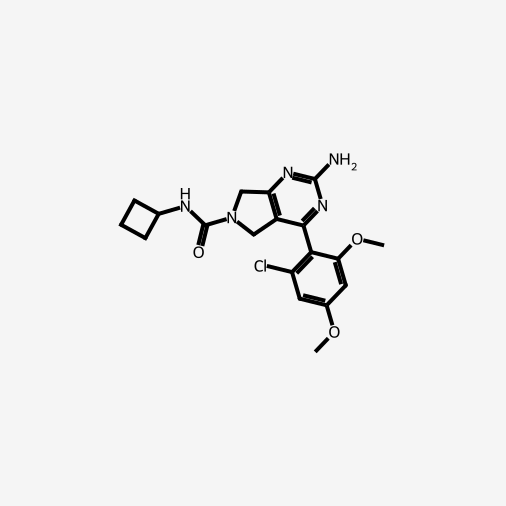 COc1cc(Cl)c(-c2nc(N)nc3c2CN(C(=O)NC2CCC2)C3)c(OC)c1